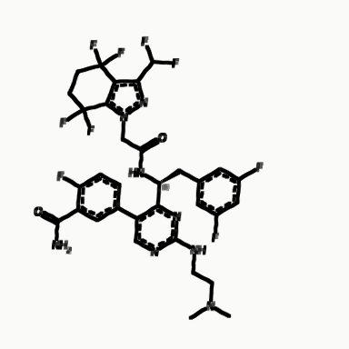 CN(C)CCNc1ncc(-c2ccc(F)c(C(N)=O)c2)c([C@H](Cc2cc(F)cc(F)c2)NC(=O)Cn2nc(C(F)F)c3c2C(F)(F)CCC3(F)F)n1